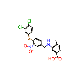 Cc1ccc(C(=O)O)cc1NCc1ccc(Sc2ccc(Cl)c(Cl)c2)c([N+](=O)[O-])c1